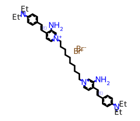 CCN(CC)c1ccc(/C=C/c2cc[n+](CCCCCCCCCC[n+]3ccc(/C=C/c4ccc(N(CC)CC)cc4)c(N)c3)cc2N)cc1.[Br-].[Br-]